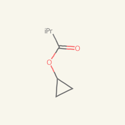 [CH2]C(C)C(=O)OC1CC1